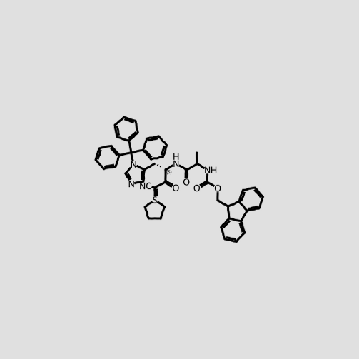 CC(NC(=O)OCC1c2ccccc2-c2ccccc21)C(=O)N[C@@H](Cc1cncn1C(c1ccccc1)(c1ccccc1)c1ccccc1)C(=O)C(C#N)=S1CCCC1